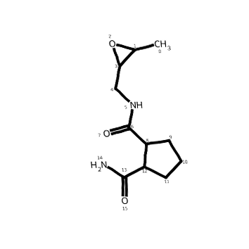 CC1OC1CNC(=O)C1CCCC1C(N)=O